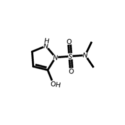 CN(C)S(=O)(=O)N1NCC=C1O